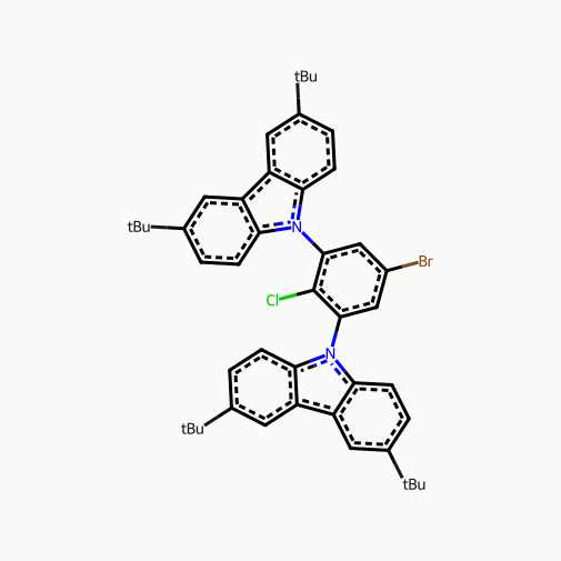 CC(C)(C)c1ccc2c(c1)c1cc(C(C)(C)C)ccc1n2-c1cc(Br)cc(-n2c3ccc(C(C)(C)C)cc3c3cc(C(C)(C)C)ccc32)c1Cl